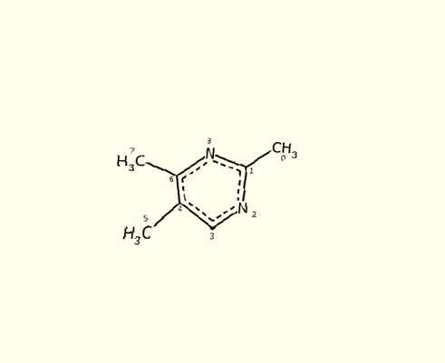 Cc1ncc(C)c(C)n1